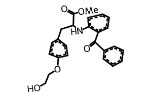 COC(=O)C(Cc1ccc(OCCO)cc1)Nc1ccccc1C(=O)c1ccccc1